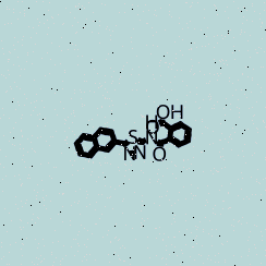 O=C(O)c1ccccc1C(=O)Nc1nnc(-c2ccc3ccccc3c2)s1